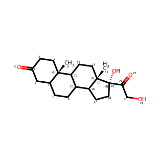 C[C@]12CCC(=O)CC1CCC1C2CC[C@@]2(C)C1CC[C@]2(O)C(=O)CO